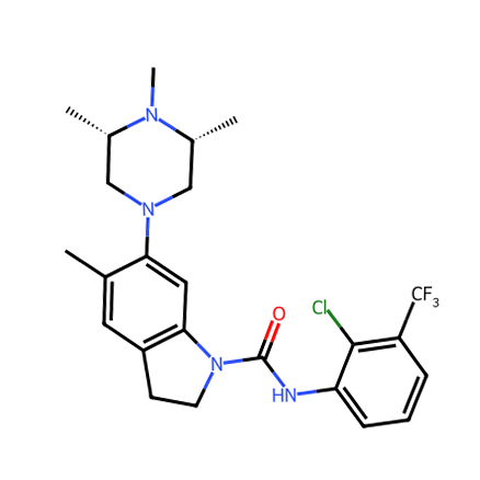 Cc1cc2c(cc1N1C[C@@H](C)N(C)[C@@H](C)C1)N(C(=O)Nc1cccc(C(F)(F)F)c1Cl)CC2